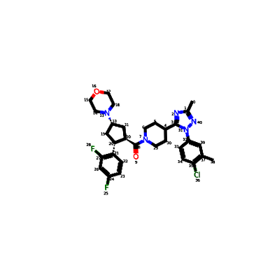 Cc1nc(C2CCN(C(=O)[C@@H]3C[C@@H](N4CCOCC4)C[C@H]3c3ccc(F)cc3F)CC2)n(-c2ccc(Cl)c(C)c2)n1